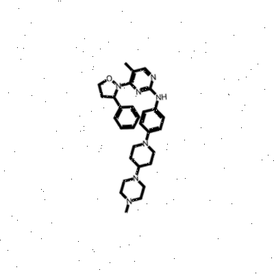 Cc1cnc(Nc2ccc(N3CCC(N4CCN(C)CC4)CC3)cc2)nc1N1OCCC1c1ccccc1